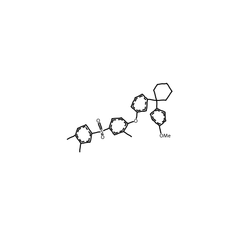 COc1ccc(C2(c3cccc(Oc4ccc(S(=O)(=O)c5ccc(C)c(C)c5)cc4C)c3)CCCCC2)cc1